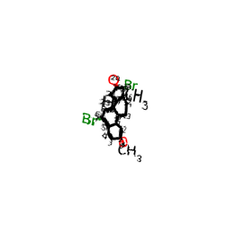 COc1ccc2c(Br)cc3c(c2c1)CC[C@]1(C)[C@H](Br)C(=O)C[C@@H]31